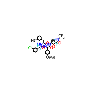 COc1ccc(C(NC(=O)C(Cc2cccc(C#N)c2)NC(=O)C(F)(F)c2cccc(Cl)c2)C(=O)N[C@H](C(=O)C(F)(F)C(=O)NCC(F)(F)F)C(C)C)cc1